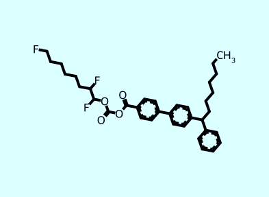 CCCCCCCC(c1ccccc1)c1ccc(-c2ccc(C(=O)OC(=O)OC(F)C(F)CCCCCCF)cc2)cc1